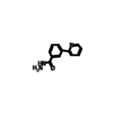 NNC(=O)c1cccc(-c2ccccn2)c1